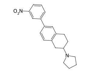 O=[N+]([O-])c1cccc(-c2ccc3c(c2)CCC(N2CCCC2)C3)c1